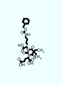 CCC1(CC)C(=O)N(C(CCC(=O)O)C(=O)O)C(=O)N([C@@H](CCCCNC(=O)OCc2ccccc2)C(=O)O)C1=O